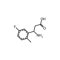 Cc1ccc(F)cc1C(N)CC(=O)O